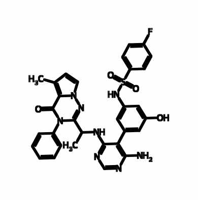 Cc1ccn2nc(C(C)Nc3ncnc(N)c3-c3cc(O)cc(NS(=O)(=O)c4ccc(F)cc4)c3)n(-c3ccccc3)c(=O)c12